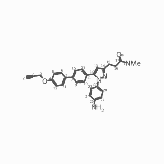 C#CCOc1ccc(-c2ccc(-c3cc(CCC(=O)NC)nn3-c3ccc(N)cc3)cc2)cc1